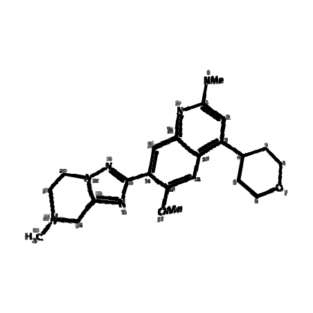 CNc1cc(C2CCOCC2)c2cc(OC)c(-c3nc4n(n3)CCN(C)C4)cc2n1